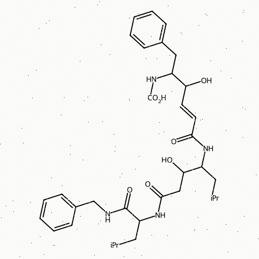 CC(C)CC(NC(=O)CC(O)C(CC(C)C)NC(=O)C=CC(O)C(Cc1ccccc1)NC(=O)O)C(=O)NCc1ccccc1